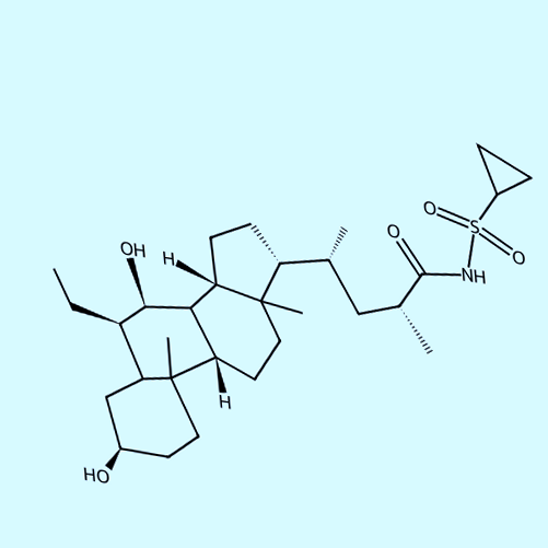 CC[C@@H]1C2C[C@H](O)CCC2(C)[C@H]2CCC3(C)[C@@H]([C@H](C)C[C@@H](C)C(=O)NS(=O)(=O)C4CC4)CC[C@H]3C2[C@@H]1O